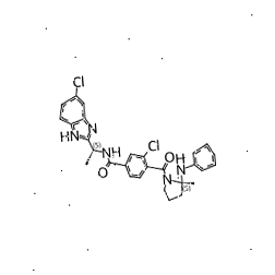 C[C@H](NC(=O)c1ccc(C(=O)N2CCC[C@@]2(C)Nc2ccccc2)c(Cl)c1)c1nc2cc(Cl)ccc2[nH]1